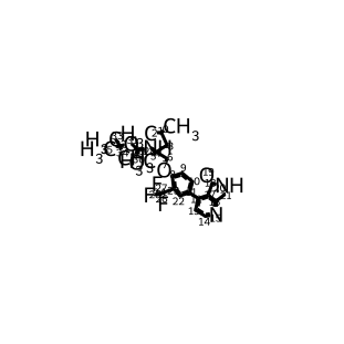 CC(C)CC(C)(COc1ccc(-c2ccnc3c2C(=O)NC3)cc1C(F)(F)F)NC(=O)OC(C)(C)C